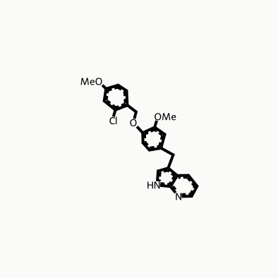 COc1ccc(COc2ccc(Cc3c[nH]c4ncccc34)cc2OC)c(Cl)c1